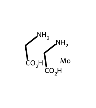 NCC(=O)O.NCC(=O)O.[Mo]